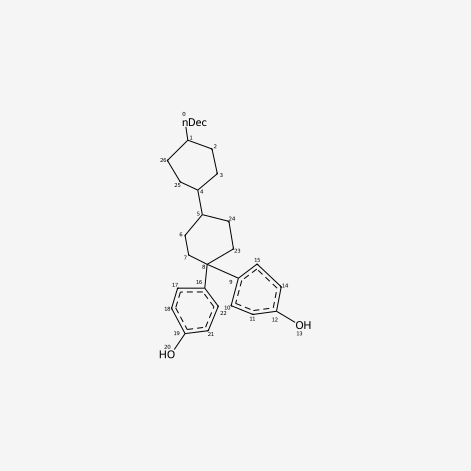 CCCCCCCCCCC1CCC(C2CCC(c3ccc(O)cc3)(c3ccc(O)cc3)CC2)CC1